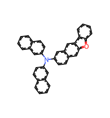 c1ccc2cc(N(c3ccc4ccccc4c3)c3ccc4cc5oc6ccccc6c5cc4c3)ccc2c1